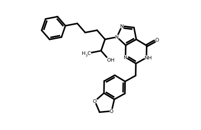 CC(O)C(CCCc1ccccc1)n1ncc2c(=O)[nH]c(Cc3ccc4c(c3)OCO4)nc21